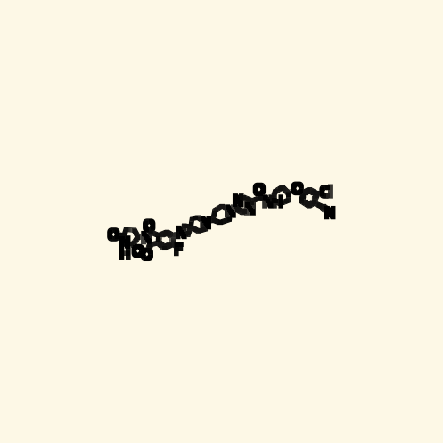 N#Cc1ccc(O[C@H]2CC[C@H](NC(=O)c3cnc(N4CCC(N5CCC6(CC5)CN(c5cc7c(cc5F)C(=O)N(C5CCC(=O)NC5=O)C7=O)C6)CC4)cn3)CC2)cc1Cl